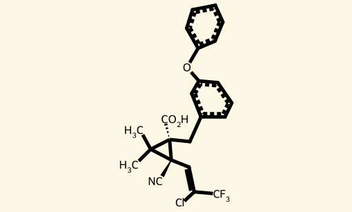 CC1(C)[C@](Cc2cccc(Oc3ccccc3)c2)(C(=O)O)[C@]1(C#N)C=C(Cl)C(F)(F)F